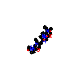 c1ccc(-c2ccccc2C2=NC(c3ccc(-n4c5cc6ccccc6cc5c5c6ccccc6ccc54)cc3-c3cccc4oc5ccccc5c34)=NC(c3ccccc3-c3cccc(-c4ccc5ccc6c(c5c4)c4cc5ccccc5cc4n6-c4ccc(-c5nc(-c6cccc7ccccc67)nc(-c6cccc7ccccc67)n5)c(-c5cccc6oc7ccccc7c56)c4)c3)N2)cc1